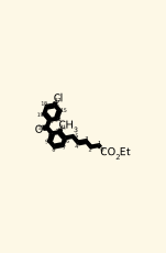 CCOC(=O)CCC=CCc1cccc(C(=O)c2ccc(Cl)cc2)c1C